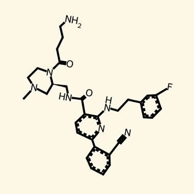 CN1CCN(C(=O)CCCN)[C@@H](CNC(=O)c2ccc(-c3ccccc3C#N)nc2NCCc2cccc(F)c2)C1